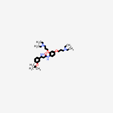 CCN(CC)CCCOc1ccc(NC(=O)CC(N)c2cccc(OC(C)(C)C)c2)c(OCCCN(CC)CC)c1